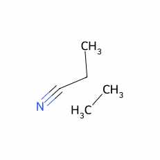 CC.CCC#N